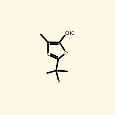 Cc1nc(C(C)(C)F)oc1C=O